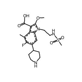 COc1c(C(=O)O)c2c(C)c(F)c(C3CCNCC3)cc2n1CCNS(C)(=O)=O